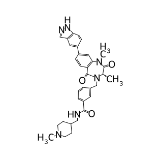 C[C@@H]1C(=O)N(C)c2cc(-c3ccc4[nH]ncc4c3)ccc2C(=O)N1Cc1cccc(C(=O)NCC2CCN(C)CC2)c1